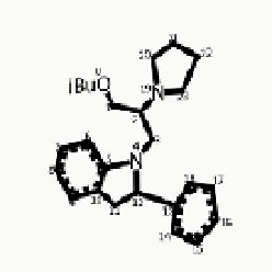 CC(C)COCC(CN1c2ccccc2CC1c1ccccc1)N1CCCC1